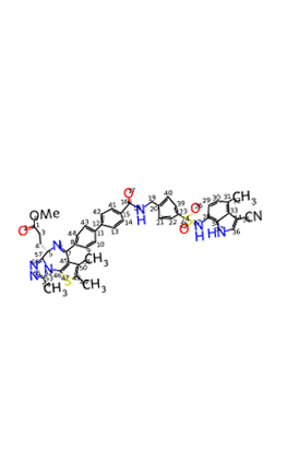 COC(=O)CC[C@@H]1N=C(c2ccc(-c3ccc(C(=O)NCc4ccc(S(=O)(=O)Nc5ccc(C)c6c(C#N)c[nH]c56)cc4)cc3)cc2)c2c(sc(C)c2C)-n2c(C)nnc21